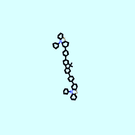 CC1(C)c2cc(-c3ccc(-c4ccc5c(c4)N(c4ccccc4)c4ccccc4S5)cc3)ccc2-c2ccc(-c3ccc(-c4ccc5c(c4)N(c4ccccc4)c4ccccc4S5)cc3)cc21